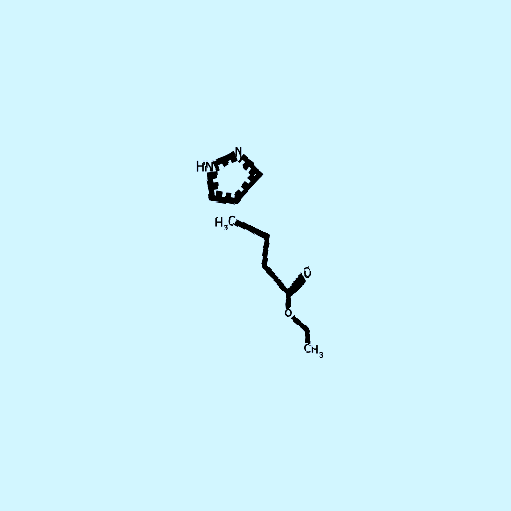 CCCC(=O)OCC.c1cn[nH]c1